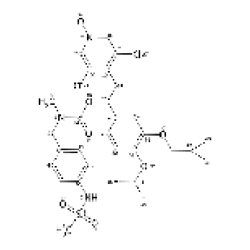 CN(Cc1ccc(NS(C)(=O)=O)cc1)C(=O)OC(Cc1c(Cl)c[n+]([O-])cc1Cl)c1ccc(OC(F)F)c(OCC2CC2)c1